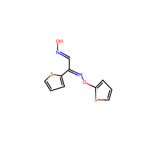 ON=CC(=NOc1cccs1)c1cccs1